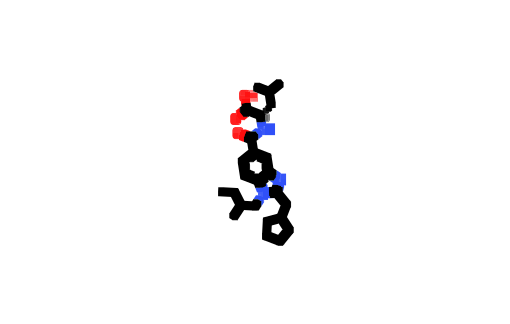 CCC(C)Cn1c(CC2CCCC2)nc2cc(C(=O)N[C@@H](CC(C)C)C(=O)O)ccc21